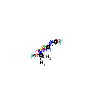 Cc1cc(COCC(F)(F)F)c(N2C(=O)CS/C2=N\C(=O)Nc2ccc(-n3cnc(-c4ccc(OC(F)(F)F)cc4)n3)cc2Cl)cc1C